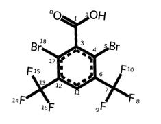 O=C(O)c1c(Br)c(C(F)(F)F)cc(C(F)(F)F)c1Br